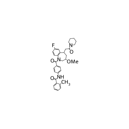 COC1CC(CC(=O)N2CCCCC2)c2cc(F)ccc2N(C(=O)c2ccc(NC(=O)c3ccccc3C)cc2)C1